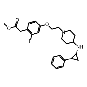 COC(=O)Cc1ccc(OCCN2CCC(N[C@@H]3C[C@H]3c3ccccc3)CC2)cc1F